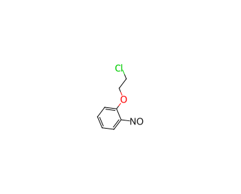 O=Nc1ccccc1OCCCl